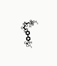 CC(=O)Nc1ccc(-c2ccc3nc(C(=O)c4nnc(CNS(C)(=O)=O)o4)sc3c2)cc1